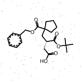 CC(C)(C)OC(=O)[C@H](CC(=O)O)CC1(C(=O)OCc2ccccc2)CCCC1